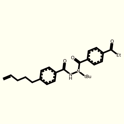 C=CCCCc1ccc(C(=O)NN(C(=O)c2ccc(C(=O)CC)cc2)C(C)(C)C)cc1